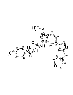 CCn1cc(NC(=O)NS(=O)(=O)c2ccc(C)cc2)c2cc(-c3noc(CN4CCOCC4)n3)ccc21